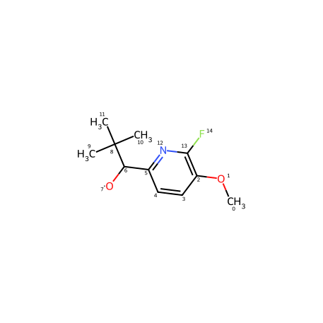 COc1ccc(C([O])C(C)(C)C)nc1F